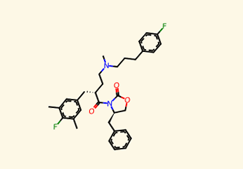 Cc1cc(C[C@H](CCN(C)CCCc2ccc(F)cc2)C(=O)N2C(=O)OC[C@H]2Cc2ccccc2)cc(C)c1F